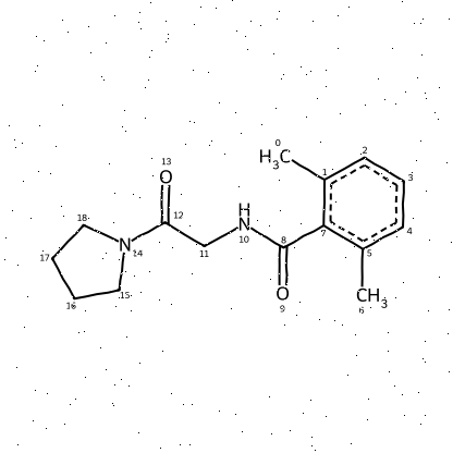 Cc1cccc(C)c1C(=O)NCC(=O)N1CCCC1